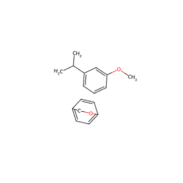 COc1cccc(C(C)C)c1.c1cc2ccc1CO2